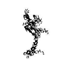 Cn1c(=O)n(C2CCC(=O)NC2=O)c2ccc(C[C@H]3CC[C@@H](CC(O)N4CC[C@H]5CC[C@@H](C(=O)N[C@@H](CCC(N)=O)C(=O)OC(C)(C)C)N5C(=O)[C@@H](NC(=O)OC(C)(C)C)C4)CC3)cc21